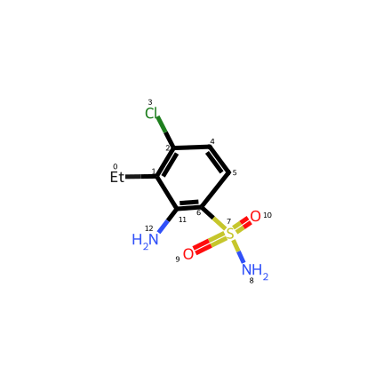 CCc1c(Cl)ccc(S(N)(=O)=O)c1N